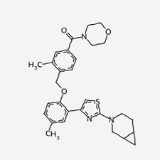 Cc1ccc(OCc2ccc(C(=O)N3CCOCC3)cc2C)c(-c2csc(N3CCC4CC4C3)n2)c1